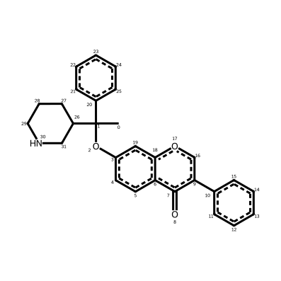 CC(Oc1ccc2c(=O)c(-c3ccccc3)coc2c1)(c1ccccc1)C1CCCNC1